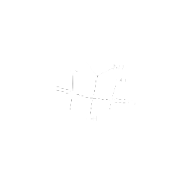 CCC(N)C(O)(P(=O)(O)O)P(=O)(O)O